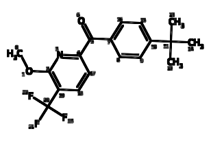 COc1nc(C(=O)c2ccc(C(C)(C)C)cc2)ccc1C(F)(F)F